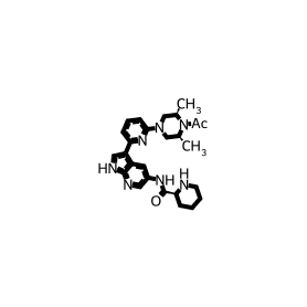 CC(=O)N1[C@H](C)CN(c2cccc(-c3c[nH]c4ncc(NC(=O)[C@@H]5CCCCN5)cc34)n2)C[C@@H]1C